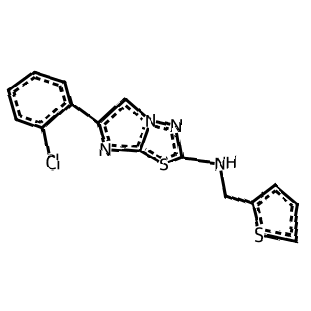 Clc1ccccc1-c1cn2nc(NCc3cccs3)sc2n1